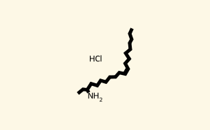 CCCCCCCC/C=C\CCCCCCCC(N)CC.Cl